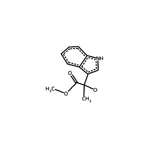 COC(=O)C(C)([O])c1c[nH]c2ccccc12